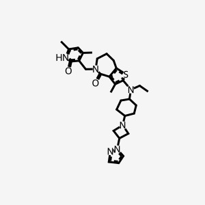 CCN(c1sc2c(c1C)C(=O)N(Cc1c(C)cc(C)[nH]c1=O)CCC2)C1CCC(N2CC(n3cccn3)C2)CC1